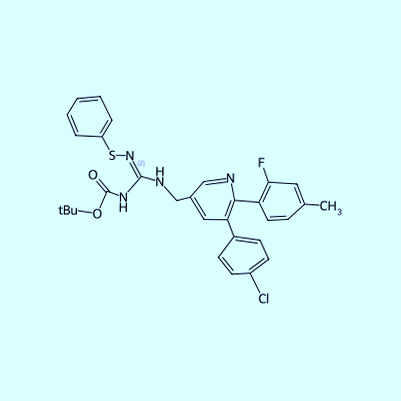 Cc1ccc(-c2ncc(CN/C(=N/Sc3ccccc3)NC(=O)OC(C)(C)C)cc2-c2ccc(Cl)cc2)c(F)c1